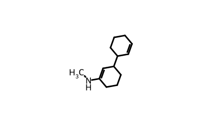 CNC1=CC(C2C=CCCC2)CCC1